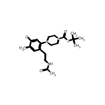 CC(=O)NCCc1cc(C)c(Cl)cc1N1CCN(C(=O)OC(C)(C)C)CC1